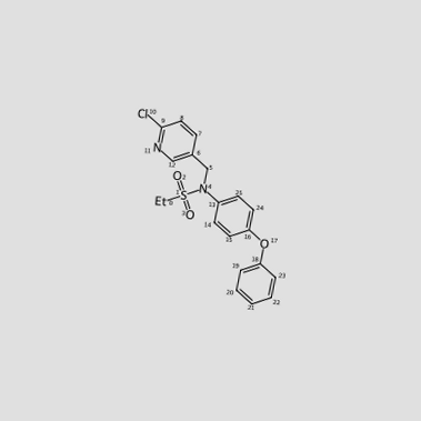 CCS(=O)(=O)N(Cc1ccc(Cl)nc1)c1ccc(Oc2ccccc2)cc1